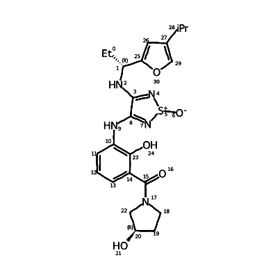 CC[C@@H](Nc1n[s+]([O-])nc1Nc1cccc(C(=O)N2CC[C@@H](O)C2)c1O)c1cc(C(C)C)co1